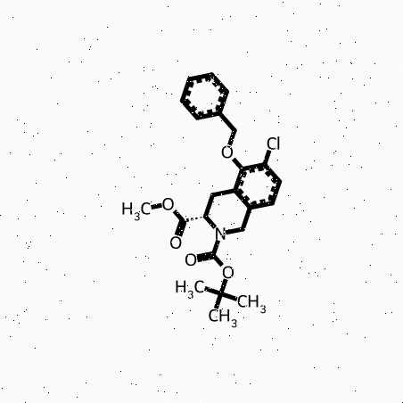 COC(=O)[C@@H]1Cc2c(ccc(Cl)c2OCc2ccccc2)CN1C(=O)OC(C)(C)C